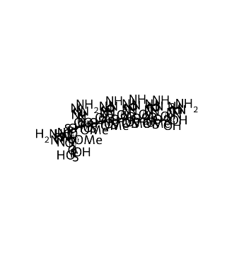 CO[C@H]1[C@@H](OP(O)(=S)OCC2O[C@@H](n3cnc4c(N)ncnc43)[C@H](OP(O)(=S)OCC3O[C@@H](n4cnc5c(N)ncnc54)[C@H](OP(O)(=S)OCC4O[C@@H](n5cnc6c(N)ncnc65)[C@H](OP(O)(=S)OCC5O[C@@H](n6cnc7c(N)ncnc76)[C@H](OP(O)(=S)OCC6O[C@@H](n7cnc8c(N)ncnc87)[C@H](O)[C@@H]6O)[C@@H]5OC)[C@@H]4OC)[C@@H]3OC)[C@@H]2OC)[C@H](n2cnc3c(N)ncnc32)O[C@@H]1COP(O)(O)=S